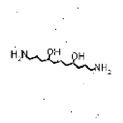 NCCCC(O)CCCC(O)CCCN